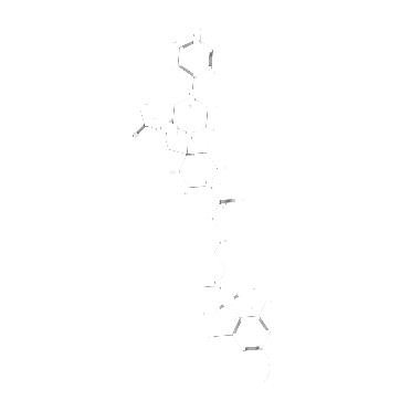 COc1cc(C)c(S(=O)(=O)N(C)CCOCC(=O)N2CCC(CNC(C)=O)(N3CCN(c4ccncc4)CC3)CC2)c(C)c1